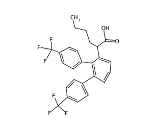 CCCCC(C(=O)O)c1cccc(-c2ccc(C(F)(F)F)cc2)c1-c1ccc(C(F)(F)F)cc1